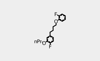 CCCOc1cc(CCCCOc2ccccc2F)ccc1F